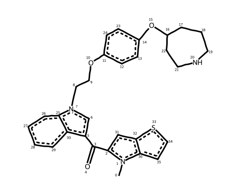 Cn1c(C(=O)c2cn(CCOc3ccc(OC4CCCNCC4)cc3)c3ccccc23)cc2sccc21